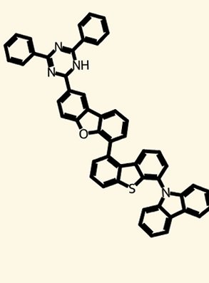 c1ccc(C2=NC(c3ccc4oc5c(-c6cccc7sc8c(-n9c%10ccccc%10c%10ccccc%109)cccc8c67)cccc5c4c3)NC(c3ccccc3)=N2)cc1